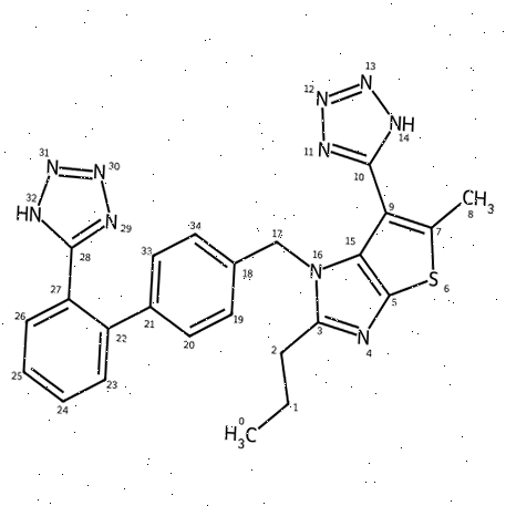 CCCc1nc2sc(C)c(-c3nnn[nH]3)c2n1Cc1ccc(-c2ccccc2-c2nnn[nH]2)cc1